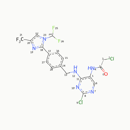 O=C(CCl)Nc1cnc(Cl)nc1NCc1ccc(-c2nc(C(F)(F)F)cn2C(F)F)cc1